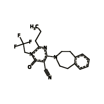 CCCc1nc(N2CCc3ccccc3CC2)c(C#N)c(=O)n1CC(F)(F)F